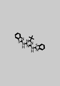 CC(C)(C)c1nc(Nc2nc3ccccc3s2)nc(Nc2nc3ccccc3s2)n1